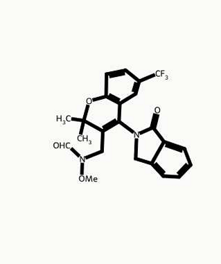 CON(C=O)CC1=C(N2Cc3ccccc3C2=O)c2cc(C(F)(F)F)ccc2OC1(C)C